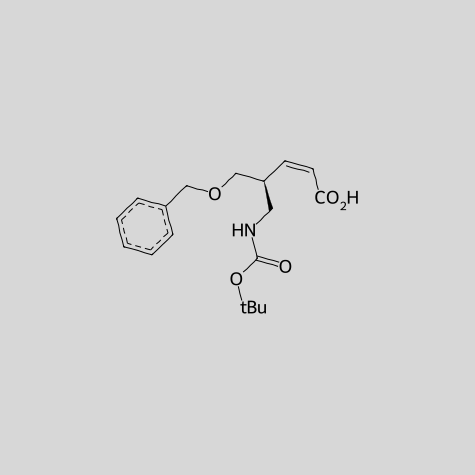 CC(C)(C)OC(=O)NC[C@H](/C=C\C(=O)O)COCc1ccccc1